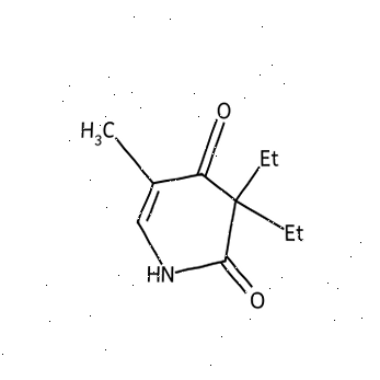 CCC1(CC)C(=O)NC=C(C)C1=O